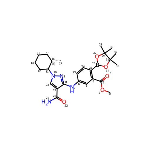 COC(=O)c1cc(Nc2nn(C3CCCC[C@@H]3C)cc2C(N)=O)ccc1B1OC(C)(C)C(C)(C)O1